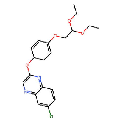 CCOC(COC1=CCC(Oc2cnc3cc(Cl)ccc3n2)C=C1)OCC